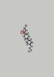 CCCCc1ccc(C2CCC(C(=O)CCC)CC2)cc1